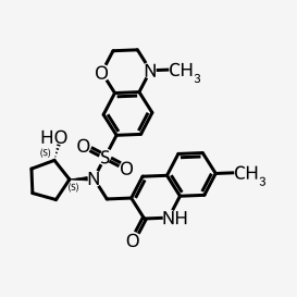 Cc1ccc2cc(CN([C@H]3CCC[C@@H]3O)S(=O)(=O)c3ccc4c(c3)OCCN4C)c(=O)[nH]c2c1